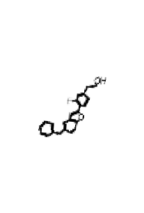 OCCc1ccc(-c2cc3cc(Cc4ccccc4)ccc3o2)c(F)c1